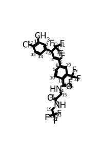 Cc1cc(C(/C=C(\F)c2ccc(C(=O)NCC(=O)NCC(F)(F)F)c(C(F)(F)F)c2)C(F)(F)F)ccc1Cl